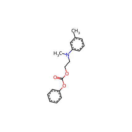 Cc1cccc(N(C)CCOC(=O)Oc2ccccc2)c1